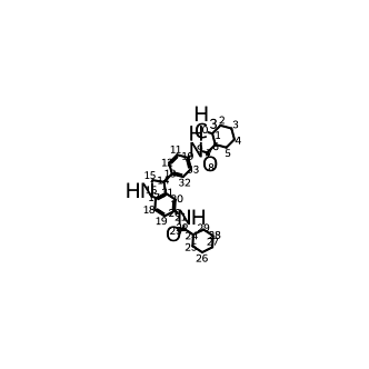 CC1CCCCC1C(=O)Nc1ccc(C2CNc3ccc(NC(=O)C4CCCCC4)cc32)cc1